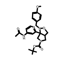 COc1ccc(CN2OCC3CN(C(=O)OC(C)(C)C)CC32c2cc(NC(C)=O)ccn2)cc1